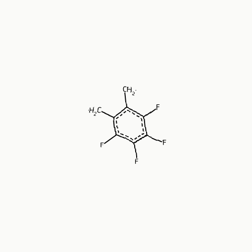 [CH2]c1c([CH2])c(F)c(F)c(F)c1F